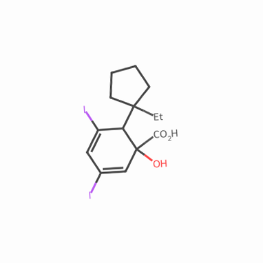 CCC1(C2C(I)=CC(I)=CC2(O)C(=O)O)CCCC1